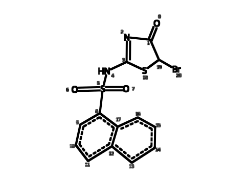 O=C1N=C(NS(=O)(=O)c2cccc3ccccc23)SC1Br